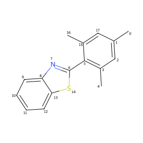 Cc1cc(C)c(-c2nc3ccccc3s2)c(C)c1